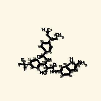 CCN(CC)c1ccc(C(=O)NC(c2ccc(C(F)(F)F)cc2)C(O)C(=O)Nc2ccc3nc(N)[nH]c3c2)cc1